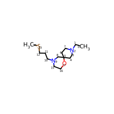 CCN1CCC2(CC1)CN(CCCSC)CCO2